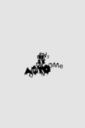 COc1ccc2ncc(C(=O)N3CCN(C(=O)C4CC4)CC3)c(N3CCN(S(C)(=O)=O)CC3)c2c1